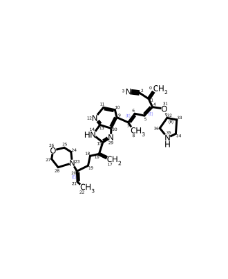 C=C(C#N)/C(=C\C=C(/C)c1ccnc2[nH]c(C(=C)CC/C(=C\C)N3CCOCC3)nc12)O[C@@H]1CCNC1